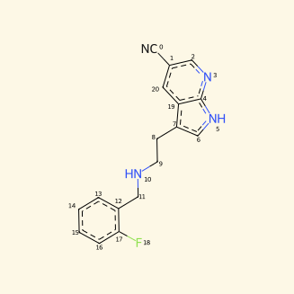 N#Cc1cnc2[nH]cc(CCNCc3ccccc3F)c2c1